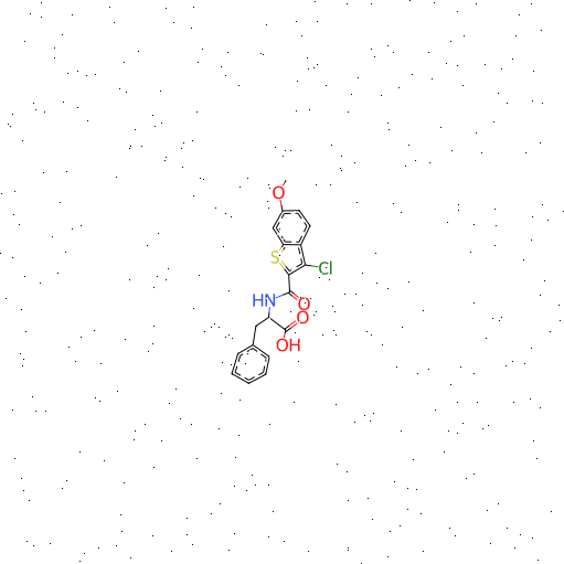 COc1ccc2c(Cl)c(C(=O)NC(Cc3ccccc3)C(=O)O)sc2c1